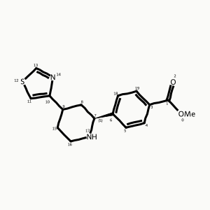 COC(=O)c1ccc([C@@H]2CC(c3cscn3)CCN2)cc1